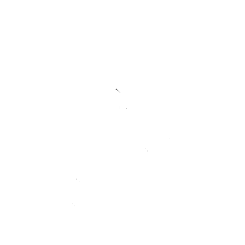 COc1ncc(-c2ccc3nc(N)sc3c2)cc1C(=O)N[C@@H](C)c1ccccc1OC(F)(F)P